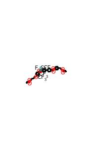 C=CC(=O)OCCCCOc1ccc(OC(F)(F)c2ccc(C3CCC(C(=O)Oc4ccc(CCOC(=O)C=C)cc4)CC3)c(C(F)(F)F)c2C(F)(F)F)c(C(F)(F)F)c1C(F)(F)F